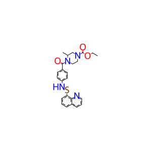 CCOC(=O)N1CCN(C(=O)c2ccc(NSc3cccc4cccnc34)cc2)C(C)C1